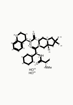 CN[C@@H](C)C(=O)N[C@H](C(=O)N1C[C@H]2CC(F)(F)CN2C[C@H]1C(=O)N[C@@H]1CCOc2ccccc21)C1CCCCC1.Cl.Cl